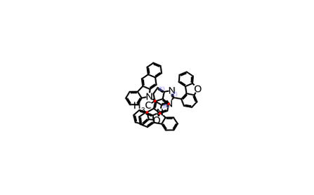 CC1C/C=C(c2ccc3oc4ccccc4c3c2-n2c3ccccc3c3cc4ccccc4cc32)/N=C(c2cccc3oc4ccccc4c23)\N=C/1n1c2ccccc2c2ccccc21